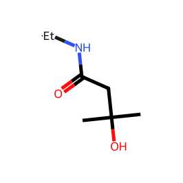 C[CH]NC(=O)CC(C)(C)O